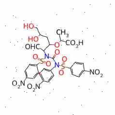 CC(OC(CC(O)CO)C(C=O)N(C(=O)N(c1ccc([N+](=O)[O-])cc1)S(=O)(=O)c1ccc([N+](=O)[O-])cc1)S(=O)(=O)c1ccc([N+](=O)[O-])cc1)C(=O)O